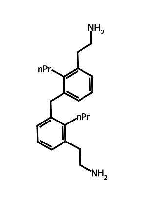 CCCc1c(CCN)cccc1Cc1cccc(CCN)c1CCC